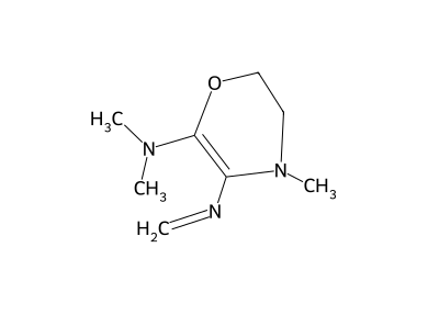 C=NC1=C(N(C)C)OCCN1C